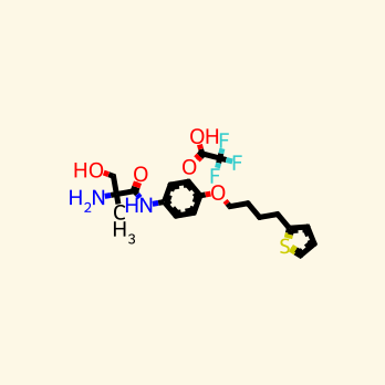 CC(N)(CO)C(=O)Nc1ccc(OCCCCc2cccs2)cc1.O=C(O)C(F)(F)F